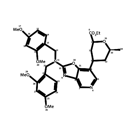 CCOC(=O)C1CC(c2cncc3nc(N(Cc4ccc(OC)cc4OC)Cc4ccc(OC)cc4OC)oc23)C[C@H](C)O1